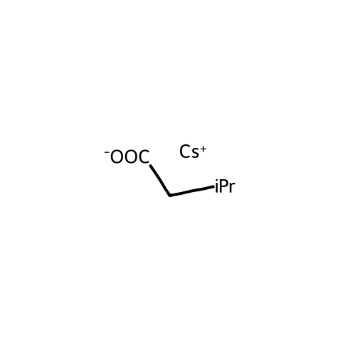 CC(C)CC(=O)[O-].[Cs+]